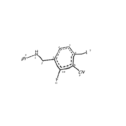 CC(C)NCc1ccc(I)c(C#N)c1F